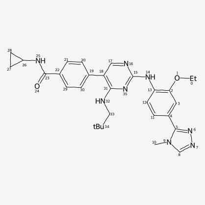 CCOc1cc(-c2nncn2C)ccc1Nc1ncc(-c2ccc(C(=O)NC3CC3)cc2)c(NCC(C)(C)C)n1